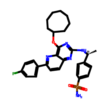 C[C@@H](Nc1nc(OC2CCCCCCC2)c2nc(-c3ccc(F)cc3)ccc2n1)c1ccc(S(N)(=O)=O)cc1